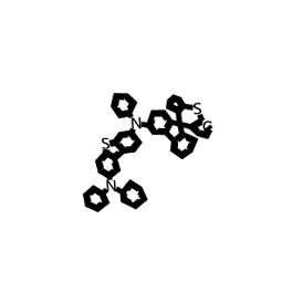 c1ccc(N(c2ccc3c(c2)-c2ccccc2C32c3ccccc3Sc3ccccc32)c2ccc3c(c2)sc2ccc(N(c4ccccc4)c4ccccc4)cc23)cc1